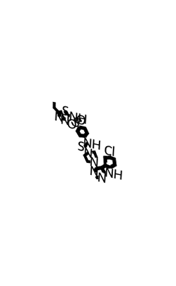 CCc1nnc(NS(=O)(=O)c2ccc(NC(=S)N3CCN(c4ncnc5[nH]c6ccc(Cl)cc6c45)CC3)cc2)s1